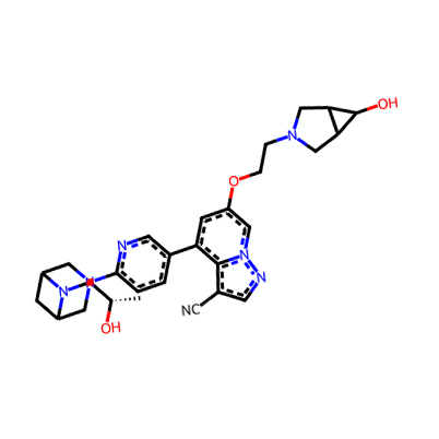 C[C@H](O)CN1C2CC1CN(c1ccc(-c3cc(OCCN4CC5C(O)C5C4)cn4ncc(C#N)c34)cn1)C2